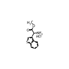 COC(=O)C(N)c1csc2ccccc12.Cl